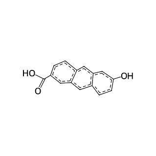 O=C(O)c1ccc2cc3cc(O)ccc3cc2c1